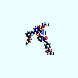 CC(C)(C)OC(=O)C[C@H](NC(=O)[C@@H]1CCCN(C(=O)CCC2CCN(C(=O)OC(C)(C)C)CC2)C1)c1cncc(/C=C/c2cccc(OCCF)c2)c1